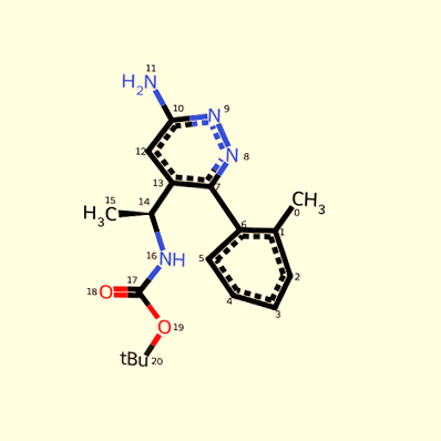 Cc1ccccc1-c1nnc(N)cc1[C@H](C)NC(=O)OC(C)(C)C